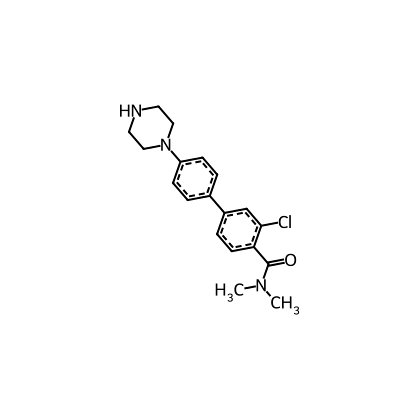 CN(C)C(=O)c1ccc(-c2ccc(N3CCNCC3)cc2)cc1Cl